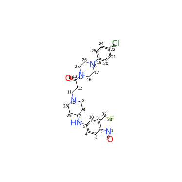 O=Nc1ccc(NC2CCN(CCC(=O)N3CCN(c4ccc(Cl)cc4)CC3)CC2)cc1CF